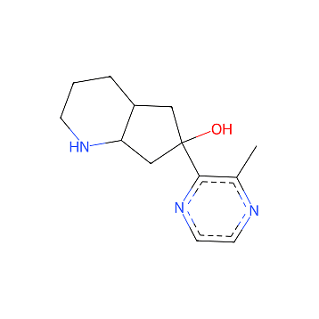 Cc1nccnc1C1(O)CC2CCCNC2C1